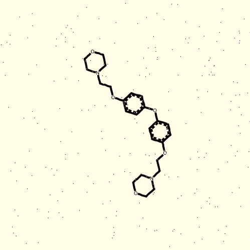 c1cc(Oc2ccc(OCCN3CCOCC3)cc2)ccc1OCCN1CCOCC1